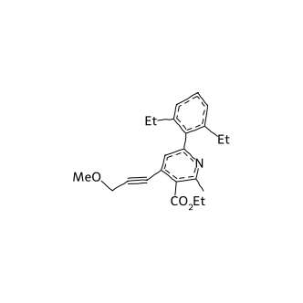 CCOC(=O)c1c(C#CCOC)cc(-c2c(CC)cccc2CC)nc1C